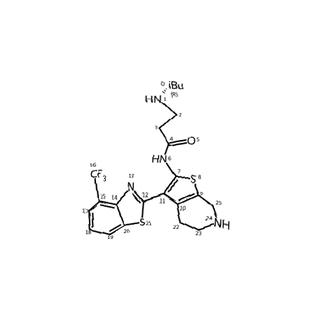 CC[C@@H](C)NCCC(=O)Nc1sc2c(c1-c1nc3c(C(F)(F)F)cccc3s1)CCNC2